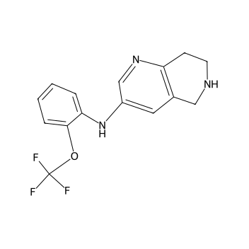 FC(F)(F)Oc1ccccc1Nc1cnc2c(c1)CNCC2